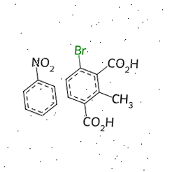 Cc1c(C(=O)O)ccc(Br)c1C(=O)O.O=[N+]([O-])c1ccccc1